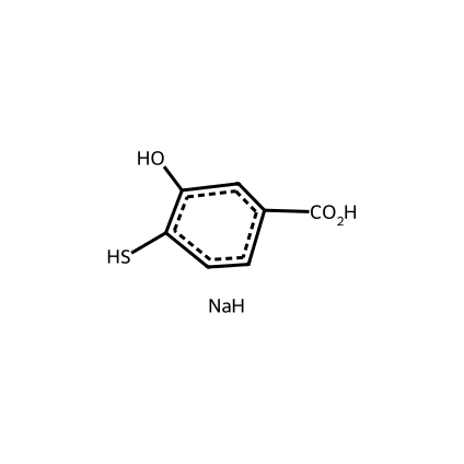 O=C(O)c1ccc(S)c(O)c1.[NaH]